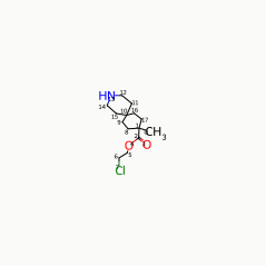 CC1(C(=O)OCCCl)CCC2(CCNCC2)CC1